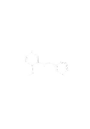 O=C(O)Cc1ccccc1OCc1ccccc1